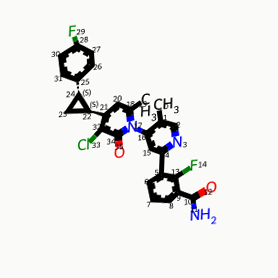 Cc1cnc(-c2cccc(C(N)=O)c2F)cc1-n1c(C)cc([C@H]2C[C@@H]2c2ccc(F)cc2)c(Cl)c1=O